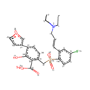 CCN(CC)C/C=C/c1cc(F)ccc1S(=O)(=O)Cc1ccc(-c2ccoc2)c(O)c1C(=O)O